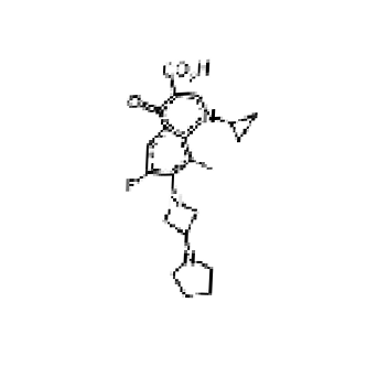 O=C(O)c1cn(C2CC2)c2c(F)c(N3CC(N4CCCC4)C3)c(F)cc2c1=O